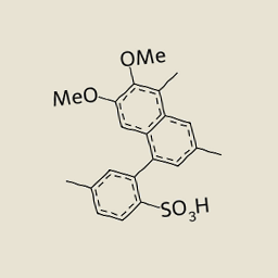 COc1cc2c(-c3cc(C)ccc3S(=O)(=O)O)cc(C)cc2c(C)c1OC